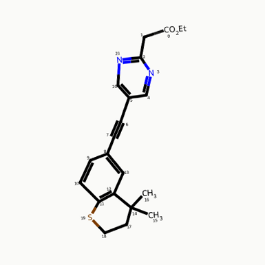 CCOC(=O)Cc1ncc(C#Cc2ccc3c(c2)C(C)(C)CCS3)cn1